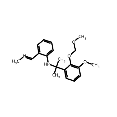 C/N=C/c1ccccc1PC(C)(C)c1cccc(OC)c1OCOC